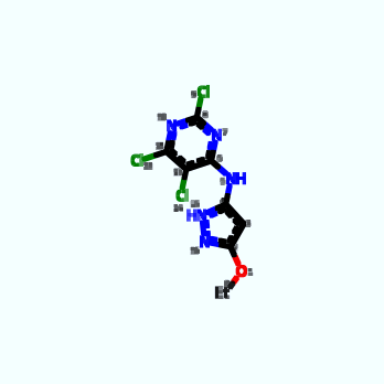 CCOc1cc(Nc2nc(Cl)nc(Cl)c2Cl)[nH]n1